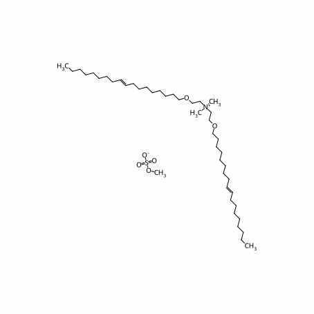 CCCCCCCCC=CCCCCCCCCOCC[N+](C)(C)CCOCCCCCCCCC=CCCCCCCCC.COS(=O)(=O)[O-]